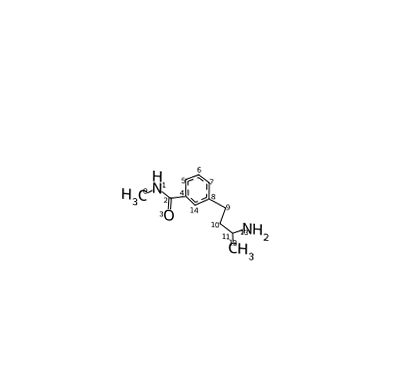 CNC(=O)c1cccc(CCC(C)N)c1